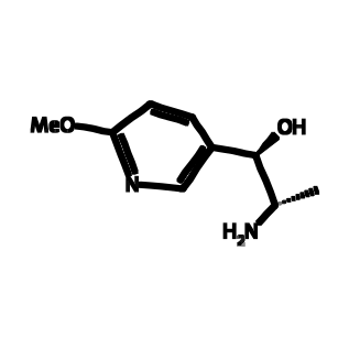 COc1ccc([C@@H](O)[C@H](C)N)cn1